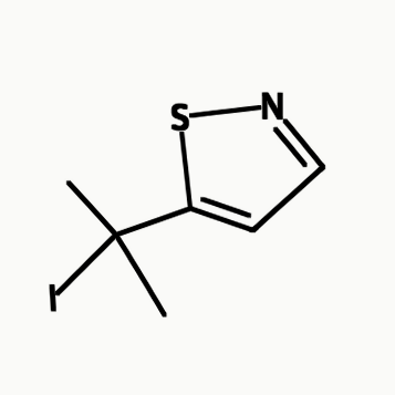 CC(C)(I)c1ccns1